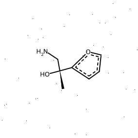 C[C@@](O)(CN)c1ccco1